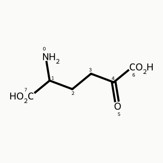 NC(CCC(=O)C(=O)O)C(=O)O